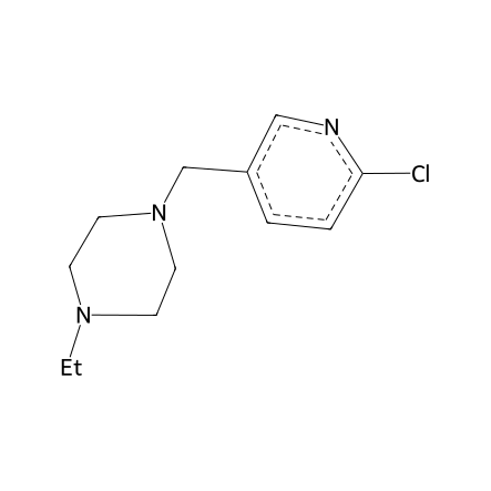 CCN1CCN(Cc2ccc(Cl)nc2)CC1